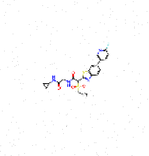 CC(C)CS(=O)(=O)C(C(=O)NCC(=O)NC1CC1)c1nc2ccc(-c3ccc(F)nc3)cc2s1